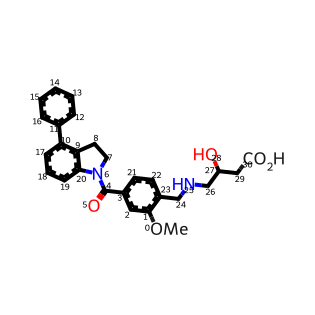 COc1cc(C(=O)N2CCc3c(-c4ccccc4)cccc32)ccc1CNCC(O)CC(=O)O